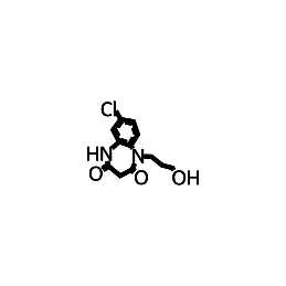 O=C1CC(=O)N(CCCO)c2ccc(Cl)cc2N1